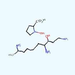 NCCC(O)C(N)CCCCC(N)C(=O)O.O=C(O)C1CCCN1O